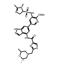 COc1ncc(-c2cc(NC(=O)c3csc(CN4CC(C)O[C@@H](C)C4)n3)c3cn[nH]c3c2)cc1NS(=O)(=O)C1CN=C(C)N1C